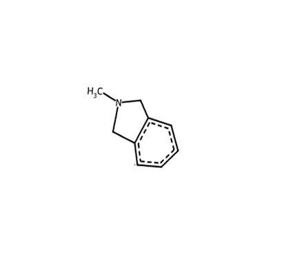 CN1Cc2[c]cccc2C1